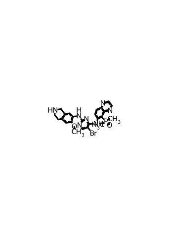 COc1cc2c(cc1Nc1ncc(Br)c(Nc3ccc4nccnc4c3P(C)(C)=O)n1)CNCC2